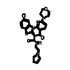 O=C(NCCN1CCCC1)c1c(=O)c2ccc(N3CCOCC3)nc2n2c1sc1ccc(Cl)cc12